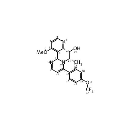 COc1ccncc1C1N=CC=C(c2ccc(OC(F)(F)F)cc2)N1[C@@H](C)CO